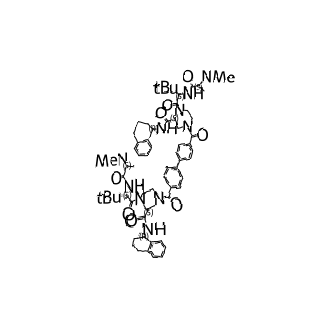 CN[C@@H](C)C(=O)N[C@H](C(=O)N1CCN(C(=O)c2ccc(-c3ccc(C(=O)N4CCN(C(=O)[C@@H](NC(=O)[C@H](C)NC)C(C)(C)C)[C@H](C(=O)N[C@@H]5CCCc6ccccc65)C4)cc3)cc2)C[C@H]1C(=O)N[C@@H]1CCCc2ccccc21)C(C)(C)C